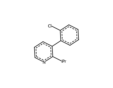 CC(C)c1ncccc1-c1ccccc1Cl